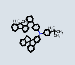 CC(C)(C)c1ccc(N(c2ccc(-c3ccccc3-c3cccc4c3C(C)(C)c3ccccc3-4)cc2)c2ccc3c(c2)C2(CCc4ccccc42)c2ccccc2-3)cc1